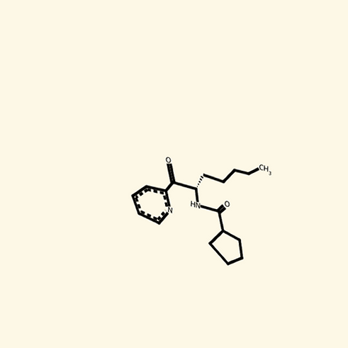 CCCCC[C@H](NC(=O)C1CCCC1)C(=O)c1ccccn1